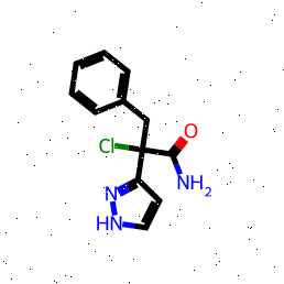 NC(=O)C(Cl)(Cc1ccccc1)c1cc[nH]n1